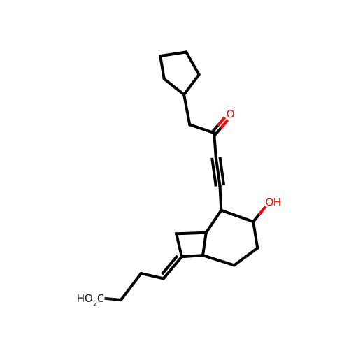 O=C(O)CCC=C1CC2C1CCC(O)C2C#CC(=O)CC1CCCC1